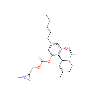 C=C(C)[C@@H]1CCC(C)=C[C@H]1c1c(O)cc(CCCCC)cc1OC(=S)OCC1CN1C